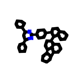 c1ccc(-c2cc(-c3ccccc3)nc(-c3ccc(-c4ccc5ccccc5c4-c4ccc5c6c(cccc46)-c4ccccc4-5)cc3)n2)cc1